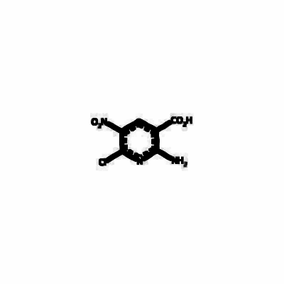 Nc1nc(Cl)c([N+](=O)[O-])cc1C(=O)O